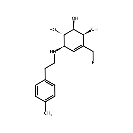 Cc1ccc(CCN[C@@H]2C=C(CF)[C@H](O)[C@H](O)[C@H]2O)cc1